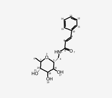 CC1O[C@H](CNC(=O)/C=C/c2ccccc2)C(O)C(O)[C@@H]1O